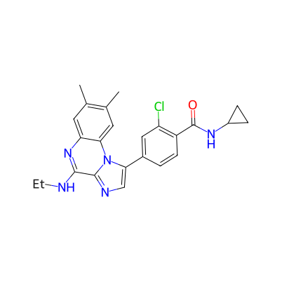 CCNc1nc2cc(C)c(C)cc2n2c(-c3ccc(C(=O)NC4CC4)c(Cl)c3)cnc12